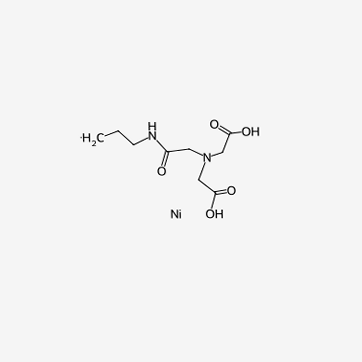 [CH2]CCNC(=O)CN(CC(=O)O)CC(=O)O.[Ni]